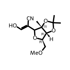 COC[C@H]1OC(C(C#N)=CO)[C@]2(C)OC(C)(C)O[C@H]12